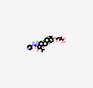 CC(C)C1=C2[C@H]3CC[C@@H]4[C@@]5(C)CC[C@H](OC(=O)CC(C)(C)C(=O)O)C(C)(C)[C@@H]5CC[C@@]4(C)[C@]3(C)CC[C@@]2(NC(=O)Nc2ccncc2)CC1=O